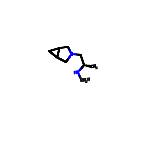 C[C@H](CN1CC2CC2C1)NC(=O)O